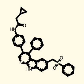 O=C(CC1CC1)Nc1ccc(-c2cnc3[nH]c4ccc(CS(=O)(=O)c5ccccc5)cc4c3c2-c2ccccc2)cc1